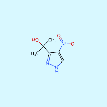 CC(C)(O)c1n[nH]cc1[N+](=O)[O-]